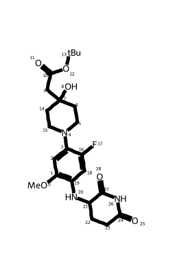 COc1cc(N2CCC(O)(CC(=O)OC(C)(C)C)CC2)c(F)cc1NC1CCC(=O)NC1=O